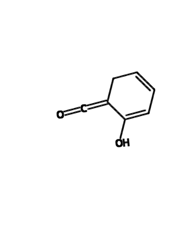 O=C=C1CC=CC=C1O